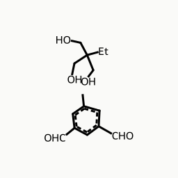 CCC(CO)(CO)CO.Cc1cc(C=O)cc(C=O)c1